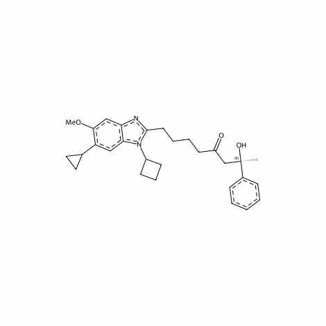 COc1cc2nc(CCCCC(=O)C[C@@](C)(O)c3ccccc3)n(C3CCC3)c2cc1C1CC1